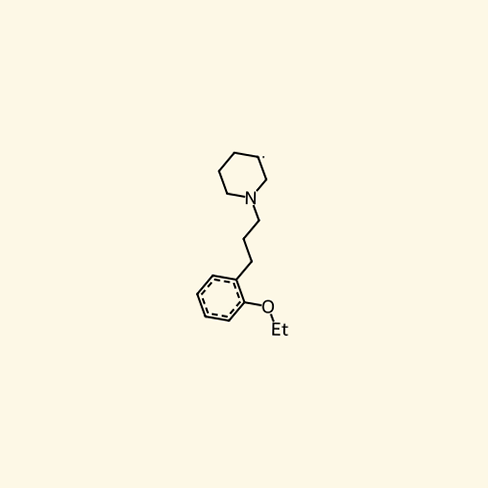 CCOc1ccccc1CCCN1C[CH]CCC1